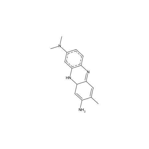 CC1=CC2=Nc3ccc(N(C)C)cc3NC2C=C1N